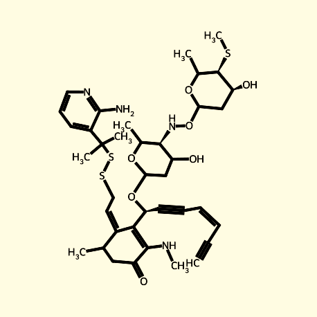 C#C/C=C\C#C[C@H](OC1CC(O)[C@H](NOC2C[C@H](O)[C@H](SC)C(C)O2)C(C)O1)C1=C(NC)C(=O)CC(C)/C1=C/CSSC(C)(C)c1cccnc1N